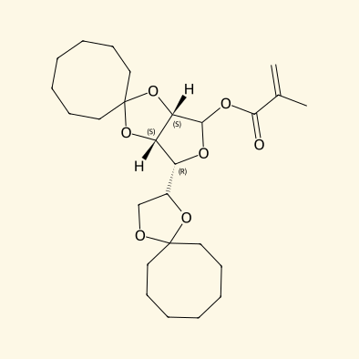 C=C(C)C(=O)OC1O[C@H](C2COC3(CCCCCCC3)O2)[C@@H]2OC3(CCCCCCC3)O[C@H]12